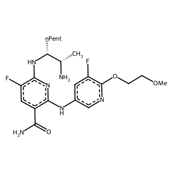 CCCCC[C@@H](Nc1nc(Nc2cnc(OCCOC)c(F)c2)c(C(N)=O)cc1F)[C@H](C)N